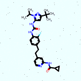 CC(C)n1nc(C(C)(C)C)cc1NC(=O)Nc1ccc(CCc2ccnc(NC(=O)C3CC3)c2)cc1F